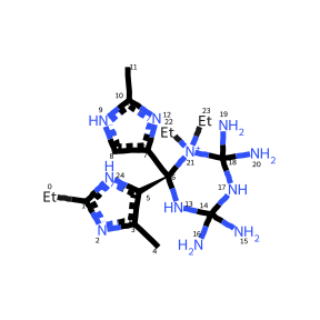 CCc1nc(C)c([C@]2(c3c[nH]c(C)n3)NC(N)(N)NC(N)(N)[N+]2(CC)CC)[nH]1